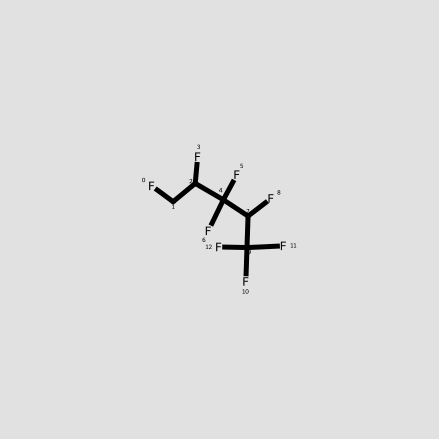 FCC(F)C(F)(F)C(F)C(F)(F)F